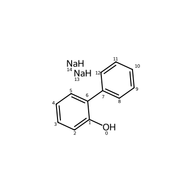 Oc1ccccc1-c1ccccc1.[NaH].[NaH]